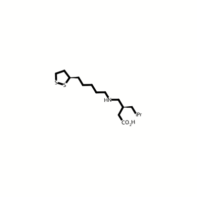 CC(C)C[C@H](CNCCCCC[C@@H]1CCSS1)CC(=O)O